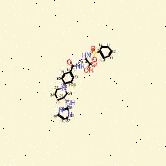 O=C(NC[C@H](NS(=O)(=O)c1ccccc1)C(=O)O)c1ccc(N2CCC[C@@H](Nc3ncccn3)C2)c(F)c1